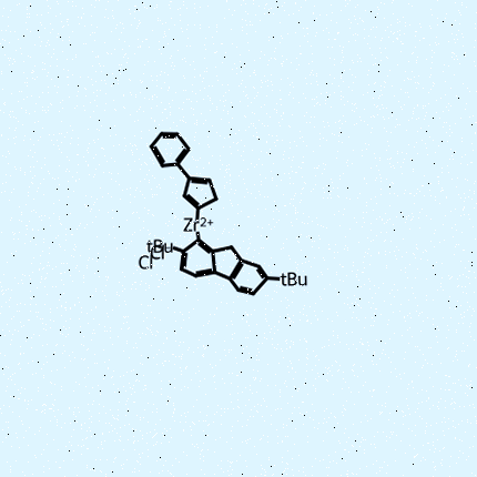 CC(C)(C)c1ccc2c(c1)Cc1c-2ccc(C(C)(C)C)[c]1[Zr+2][C]1=CC(c2ccccc2)=CC1.[Cl-].[Cl-]